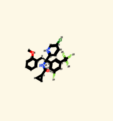 COc1ccccc1C[C@@](NC(=O)C1CC1)(c1cc(F)cc(C(F)(F)F)c1)c1ccc(Cl)cn1